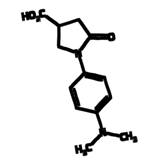 CN(C)c1ccc(N2CC(C(=O)O)CC2=O)cc1